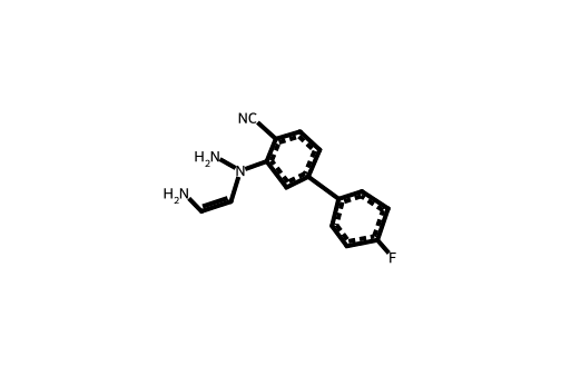 N#Cc1ccc(-c2ccc(F)cc2)cc1N(N)/C=C\N